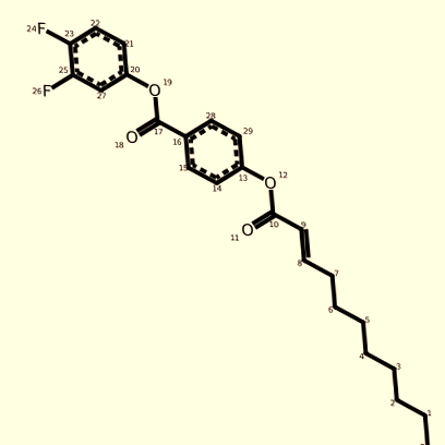 CCCCCCCC/C=C/C(=O)Oc1ccc(C(=O)Oc2ccc(F)c(F)c2)cc1